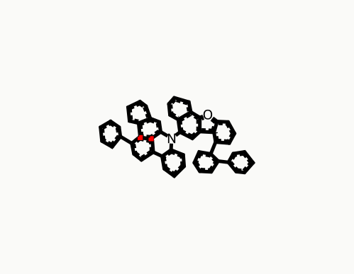 c1ccc(-c2ccc(-c3ccccc3N(c3ccc4ccccc4c3)c3cc4c(oc5cccc(-c6ccccc6-c6ccccc6)c54)c4ccccc34)cc2)cc1